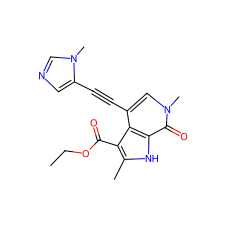 CCOC(=O)c1c(C)[nH]c2c(=O)n(C)cc(C#Cc3cncn3C)c12